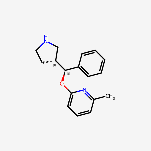 Cc1cccc(O[C@H](c2ccccc2)[C@@H]2CCNC2)n1